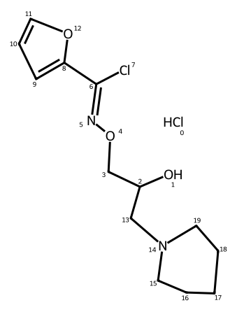 Cl.OC(CO/N=C(\Cl)c1ccco1)CN1CCCCC1